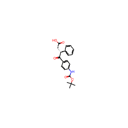 CC(C)(C)OC(=O)Nc1ccc(C(=O)[C@H](CC(=O)O)c2ccccc2)cc1